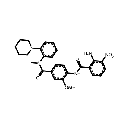 COc1cc(C(=O)N(C)c2ccccc2N2CCCCC2)ccc1NC(=O)c1cccc([N+](=O)[O-])c1N